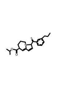 CCCc1cccc(C(=S)C2C=CC3=CC(C(=O)OC(C)C)CCCN32)c1